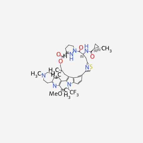 CO[C@@H](C)c1nc2c(cc1-c1c3c4cc(ccc4n1CC(F)(F)F)-c1csc(n1)C[C@H](NC(=O)[C@H]1C[C@@H]1C)C(=O)N1CCC[C@H](N1)C(=O)OCC(C)(C)C3)CCN(C)CC2